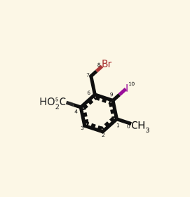 Cc1ccc(C(=O)O)c(CBr)c1I